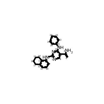 C=C(N)c1cnc(Nc2cccc3c2CCCC3)nc1Nc1ccccc1